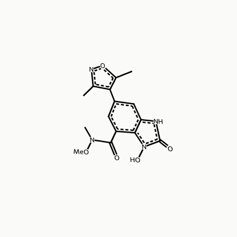 CON(C)C(=O)c1cc(-c2c(C)noc2C)cc2[nH]c(=O)n(O)c12